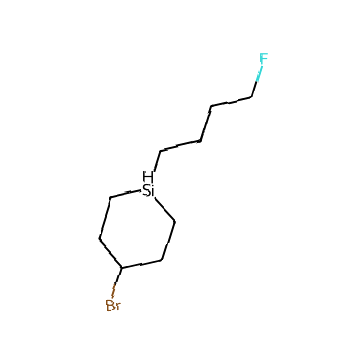 FCCCC[SiH]1CCC(Br)CC1